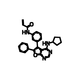 C=CC(=O)Nc1cccc(-c2c(-c3ccccc3)oc3ncnc(NC4CCCC4)c23)c1